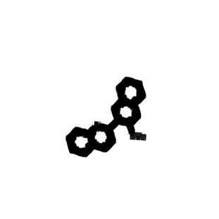 CSc1cc2ccccc2cc1-c1ccc2ccccc2n1